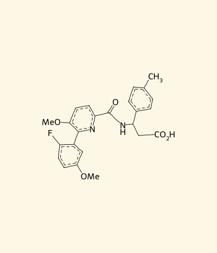 COc1ccc(F)c(-c2nc(C(=O)NC(CC(=O)O)c3ccc(C)cc3)ccc2OC)c1